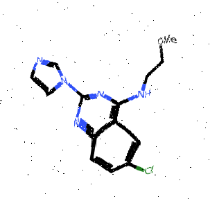 COCCNc1nc(-n2ccnc2)nc2ccc(Cl)cc12